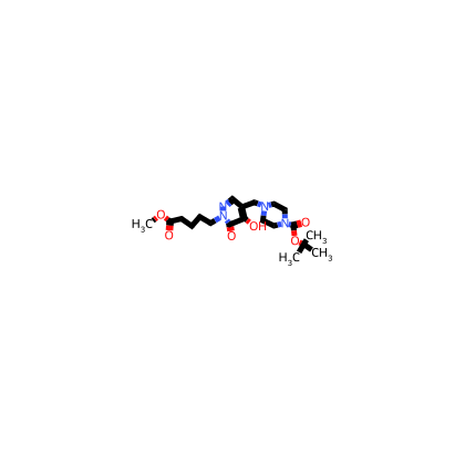 COC(=O)CCCCn1ncc(CN2CCN(C(=O)OC(C)(C)C)CC2)c(O)c1=O